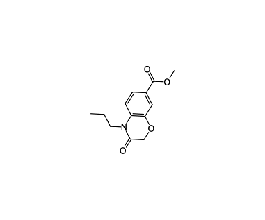 CCCN1C(=O)COc2cc(C(=O)OC)ccc21